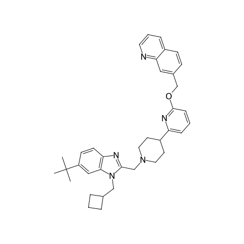 CC(C)(C)c1ccc2nc(CN3CCC(c4cccc(OCc5ccc6cccnc6c5)n4)CC3)n(CC3CCC3)c2c1